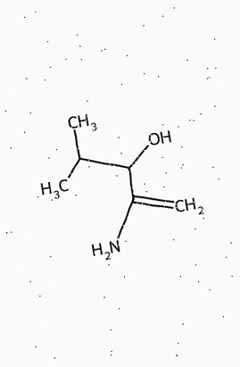 C=C(N)C(O)C(C)C